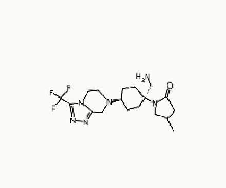 CC1CC(=O)N([C@]2(CN)CC[C@H](N3CCn4c(nnc4C(F)(F)F)C3)CC2)C1